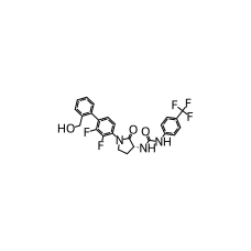 O=C(Nc1ccc(C(F)(F)F)cc1)N[C@@H]1CCN(c2ccc(-c3ccccc3CO)c(F)c2F)C1=O